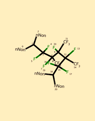 CCCCCCCCCC(CCCCCCCCC)C(F)(F)C(F)(C(F)(F)F)C(F)(C(F)(F)F)C(F)(C(F)(F)F)C(F)(F)C(CCCCCCCCC)CCCCCCCCC